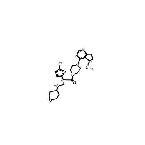 C[C@@H]1CCc2ncnc(N3CCN(C(=O)[C@H](CNC4CCOCC4)c4ccc(Cl)s4)CC3)c21